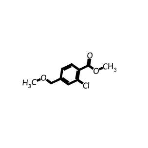 COCc1ccc(C(=O)OC)c(Cl)c1